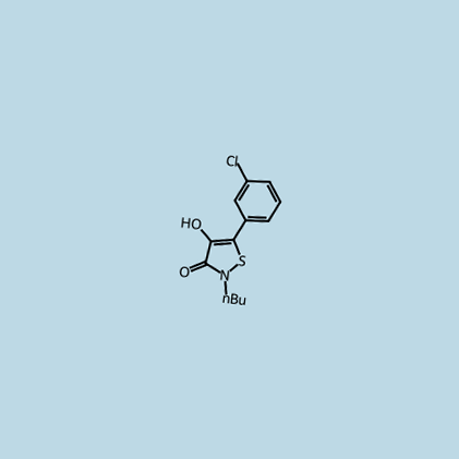 CCCCn1sc(-c2cccc(Cl)c2)c(O)c1=O